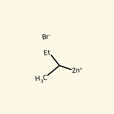 CC[CH](C)[Zn+].[Br-]